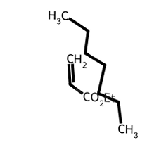 C=CC(=O)OCC.CCCCCCC